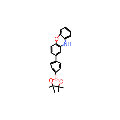 CC1(C)OB(c2ccc(-c3ccc4c(c3)Nc3ccccc3O4)cc2)OC1(C)C